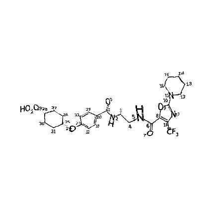 O=C(NCCNC(=O)c1oc(N2CCCCC2)nc1C(F)(F)F)c1ccc(O[C@H]2CC[C@@H](C(=O)O)CC2)cc1